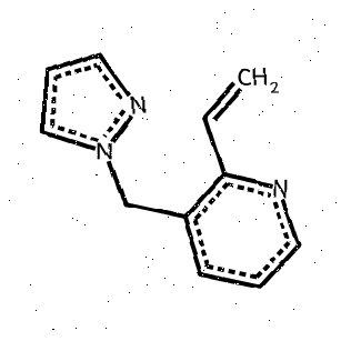 C=Cc1ncccc1Cn1cccn1